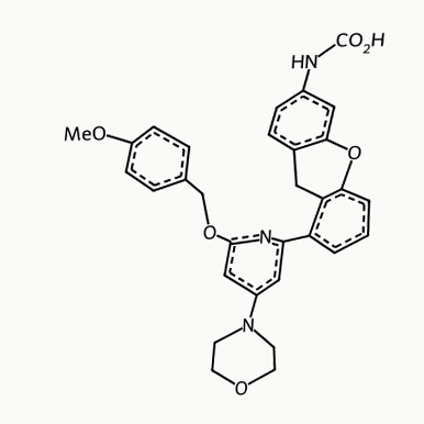 COc1ccc(COc2cc(N3CCOCC3)cc(-c3cccc4c3Cc3ccc(NC(=O)O)cc3O4)n2)cc1